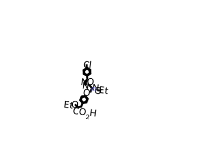 CCO/N=C(\COc1ccc(CC(OCC)C(=O)O)cc1)c1nnc(-c2ccc(Cl)cc2)o1